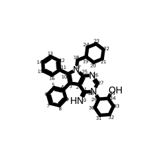 N=c1c2c(-c3ccccc3)c(-c3ccccc3)n(CC3CCCCC3)c2ncn1C1CCCCC1O